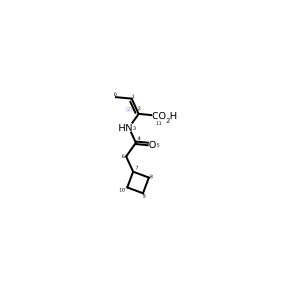 C/C=C(\NC(=O)CC1CCC1)C(=O)O